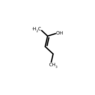 [CH2]C(O)=CCC